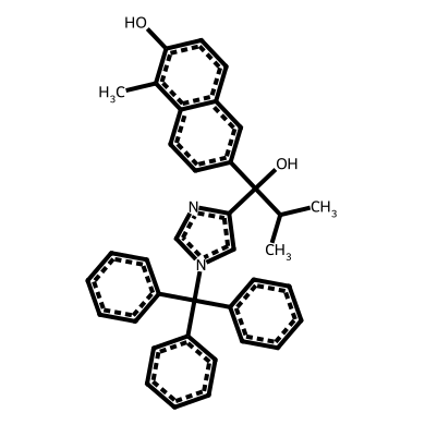 Cc1c(O)ccc2cc(C(O)(c3cn(C(c4ccccc4)(c4ccccc4)c4ccccc4)cn3)C(C)C)ccc12